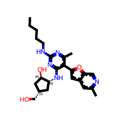 CCCCCNc1nc(C)c(-c2cc3cc(C)ncc3o2)c(N[C@@H]2C[C@H](CO)C[C@H]2O)n1